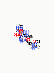 COc1cc(CC(=O)N(C)Cc2ncn(CC(NC(C)=O)C(=O)OC(=O)C(Cn3cnc(C4C(C)CCN4C(=O)Cc4ccc(NC(=O)Nc5ccccc5C)cn4)c3)NS(C)(=O)=O)c2C)ccc1NC(=O)Nc1ccccc1C